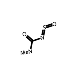 CNC(=O)N=S=O